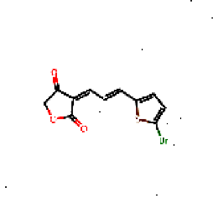 O=C1COC(=O)C1=CC=Cc1ccc(Br)s1